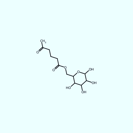 CC(=O)CCCC(=O)OCC1OC(O)C(O)C(O)C1O